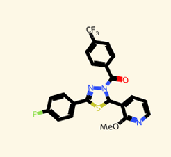 COc1ncccc1C1SC(c2ccc(F)cc2)=NN1C(=O)c1ccc(C(F)(F)F)cc1